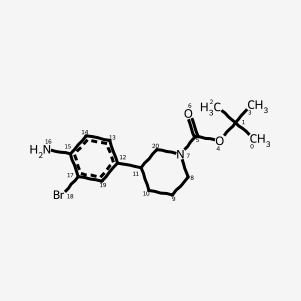 CC(C)(C)OC(=O)N1CCCC(c2ccc(N)c(Br)c2)C1